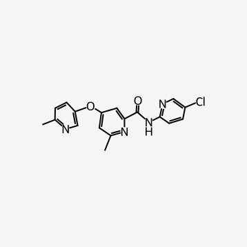 Cc1ccc(Oc2cc(C)nc(C(=O)Nc3ccc(Cl)cn3)c2)cn1